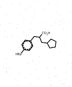 O=C(O)C(Cc1cc[c]([RaH])cc1)CC1CCCC1